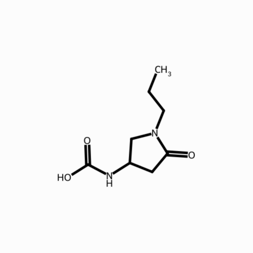 CCCN1CC(NC(=O)O)CC1=O